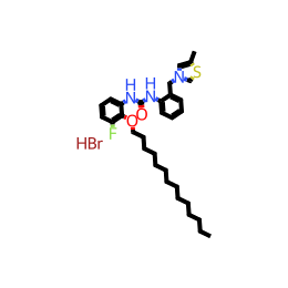 Br.CCCCCCCCCCCCCCOc1c(F)cccc1NC(=O)Nc1ccccc1CN1C=C(C)SC1